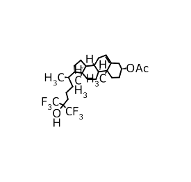 CC(=O)O[C@H]1CC[C@@]2(C)C(=CC[C@H]3[C@@H]4CC[C@H]([C@H](C)CCCC(O)(C(F)(F)F)C(F)(F)F)[C@@]4(C)CC[C@@H]32)C1